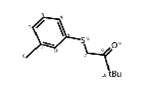 Cc1cccc(SCC(=O)C(C)(C)C)c1